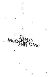 COC(=O)c1cc(N[C@@H](C)C(=O)OC)nc(Cl)n1